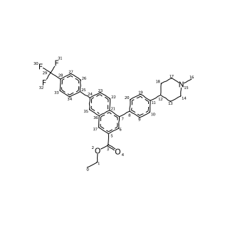 CCOC(=O)c1cc(-c2ccc(C3CCN(C)CC3)cc2)c2ccc(-c3ccc(C(F)(F)F)cc3)cc2c1